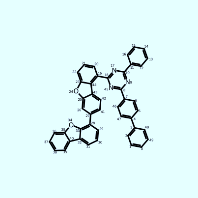 c1ccc(-c2ccc(-c3nc(-c4ccccc4)nc(-c4cccc5oc6cc(-c7cccc8c7oc7ccccc78)ccc6c45)n3)cc2)cc1